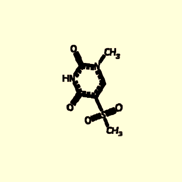 Cn1cc(S(C)(=O)=O)c(=O)[nH]c1=O